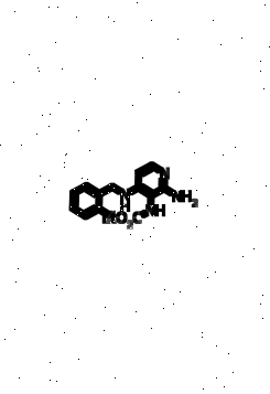 CCOC(=O)Nc1c(NCc2ccccc2F)ccnc1N